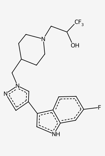 OC(CN1CCC(Cn2cc(-c3c[nH]c4cc(F)ccc34)cn2)CC1)C(F)(F)F